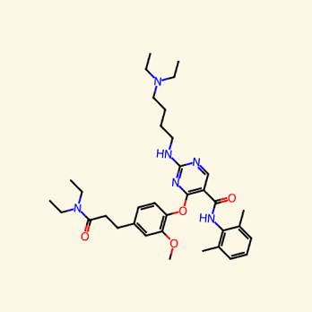 CCN(CC)CCCCNc1ncc(C(=O)Nc2c(C)cccc2C)c(Oc2ccc(CCC(=O)N(CC)CC)cc2OC)n1